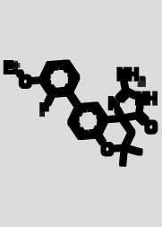 CCOc1cccc(-c2ccc3c(c2)C2(CC(C)(C)O3)N=C(N)NC2=O)c1F